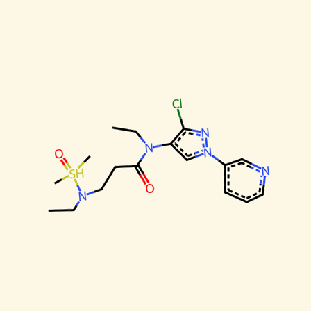 CCN(C(=O)CCN(CC)[SH](C)(C)=O)c1cn(-c2cccnc2)nc1Cl